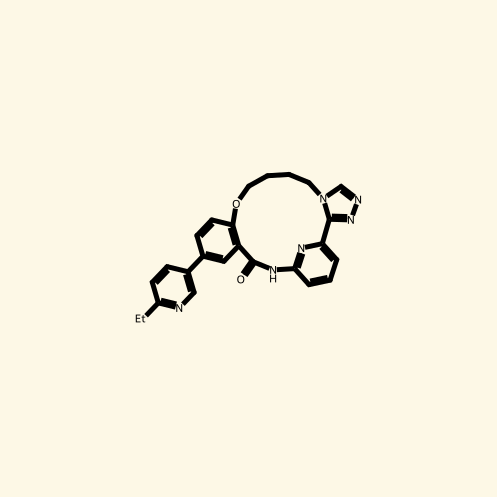 CCc1ccc(-c2ccc3c(c2)C(=O)Nc2cccc(n2)-c2nncn2CCCCO3)cn1